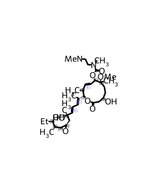 CC[C@@H](O)[C@@H](C)[C@H]1O[C@@H]1C[C@](C)(O)/C=C/C=C(\C)[C@H]1OC(=O)C[C@@H](O)CC[C@](C)(OC)[C@@H](OC(=O)N(C)CCNC)/C=C/[C@@H]1C